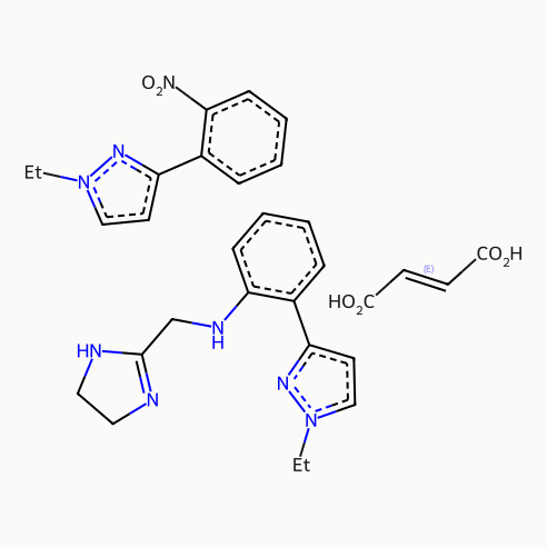 CCn1ccc(-c2ccccc2NCC2=NCCN2)n1.CCn1ccc(-c2ccccc2[N+](=O)[O-])n1.O=C(O)/C=C/C(=O)O